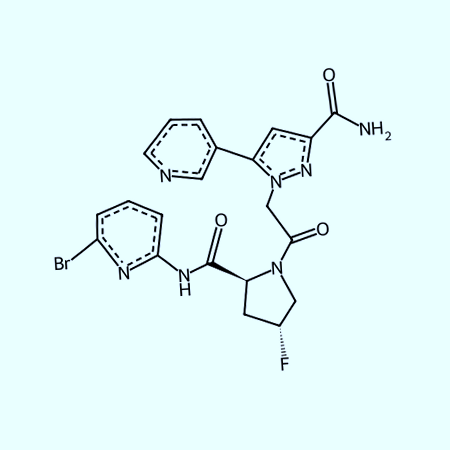 NC(=O)c1cc(-c2cccnc2)n(CC(=O)N2C[C@H](F)C[C@H]2C(=O)Nc2cccc(Br)n2)n1